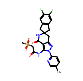 CS(=O)(=O)CC(=O)Nc1c2c(nn1-c1ccc(C#N)cn1)CC1(Cc3cc(F)c(F)cc3C1)NC2=O